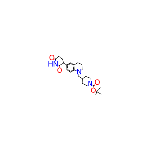 CC(C)(C)OC(=O)N1CCC(CN2CCCc3cc(C4CCC(=O)NC4=O)ccc32)CC1